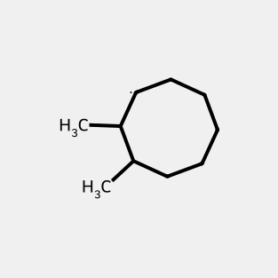 CC1[CH]CCCCCC1C